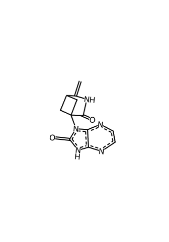 C=C1NC(=O)C2(n3c(=O)[nH]c4nccnc43)CC1C2